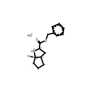 Cl.O=C(OCc1ccccc1)C1CC2CCC[C@@H]2N1